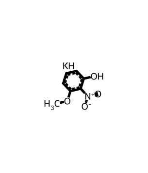 COc1cccc(O)c1[N+](=O)[O-].[KH]